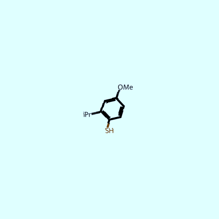 COc1ccc(S)c(C(C)C)c1